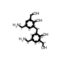 NCc1cc(CO)c(O)c(Cc2cc(CN)cc(CO)c2O)c1